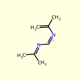 C=C(C)/N=C\N=C(C)C